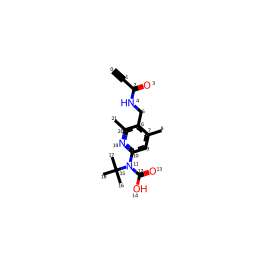 C#CC(=O)NCc1c(C)cc(N(C(=O)O)C(C)(C)C)nc1C